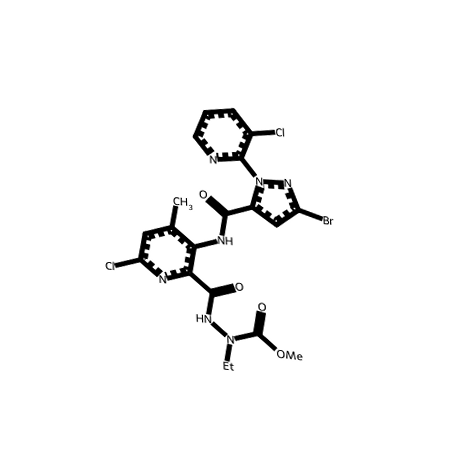 CCN(NC(=O)c1nc(Cl)cc(C)c1NC(=O)c1cc(Br)nn1-c1ncccc1Cl)C(=O)OC